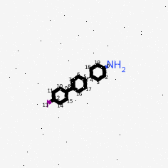 NC1CCC([C@H]2CC=C(C3CCC(I)CC3)CC2)CC1